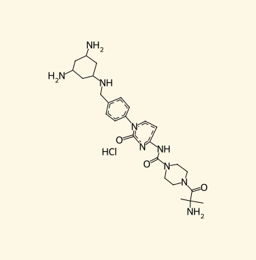 CC(C)(N)C(=O)N1CCN(C(=O)Nc2ccn(-c3ccc(CNC4CC(N)CC(N)C4)cc3)c(=O)n2)CC1.Cl